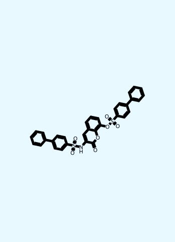 O=c1oc2c(OS(=O)(=O)c3ccc(-c4ccccc4)cc3)cccc2cc1NS(=O)(=O)c1ccc(-c2ccccc2)cc1